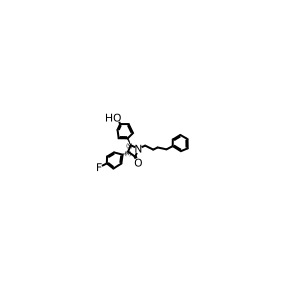 O=C1[C@H](c2ccc(F)cc2)[C@@H](c2ccc(O)cc2)N1CCCCc1ccccc1